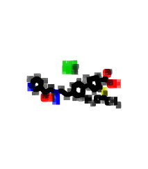 CC(C)Sc1cc(-c2ccc(CCNC[C@H](O)c3cccnc3)cc2)ccc1C(=O)O.Cl.Cl